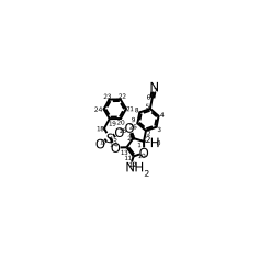 [2H]C1(c2ccc(C#N)cc2)OC(N)=C(OS(=O)(=O)Cc2ccccc2)C1=O